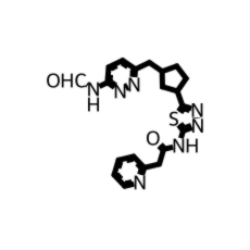 O=CNc1ccc(CC2CCC(c3nnc(NC(=O)Cc4ccccn4)s3)C2)nn1